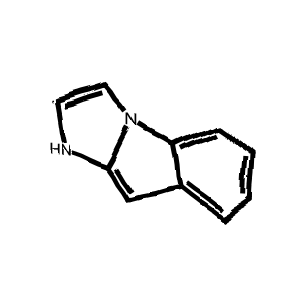 [c]1cn2c(cc3ccccc32)[nH]1